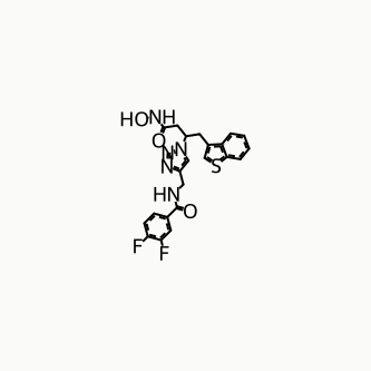 O=C(CC(Cc1csc2ccccc12)n1cc(CNC(=O)c2ccc(F)c(F)c2)nn1)NO